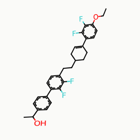 CCOc1ccc(C2=CCC(CCc3ccc(-c4ccc(C(C)O)cc4)c(F)c3F)CC2)c(F)c1F